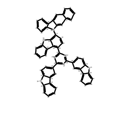 c1ccc2cc3c(cc2c1)c1ccccc1n3-c1ccc(-c2nc(-c3ccc4oc5ccccc5c4c3)nc(-c3ccc4sc5ccccc5c4c3)n2)c2c1oc1ccccc12